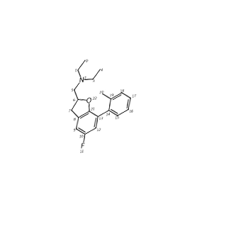 CCN(CC)CC1Cc2cc(F)cc(-c3ccccc3C)c2O1